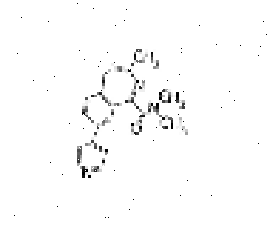 CC1=CCc2ccc(-c3ccncc3)cc2C(C(=O)N(C)C)=N1